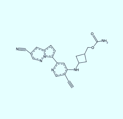 C#Cc1cnc(-c2ccc3cc(C#N)cnn23)cc1NC1CC(COC(N)=O)C1